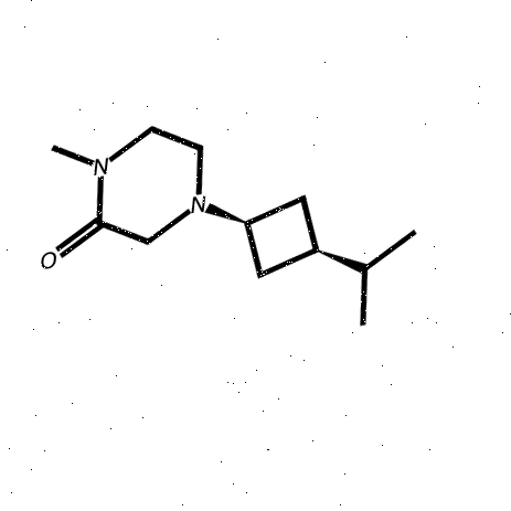 CC(C)[C@H]1C[C@@H](N2CCN(C)C(=O)C2)C1